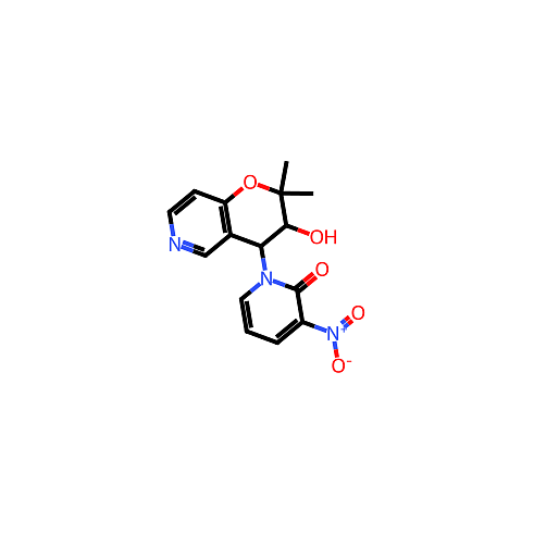 CC1(C)Oc2ccncc2C(n2cccc([N+](=O)[O-])c2=O)C1O